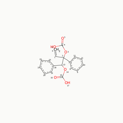 C=CC(OC(=O)O)(c1ccccc1)C(OC(=O)O)c1ccccc1